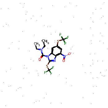 CCN(CC)C(=O)n1c(SC(F)(F)F)nc2c([N+](=O)[O-])cc(SC(F)(F)F)cc21